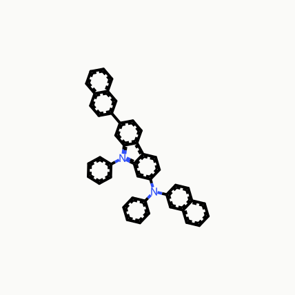 c1ccc(N(c2ccc3ccccc3c2)c2ccc3c4ccc(-c5ccc6ccccc6c5)cc4n(-c4ccccc4)c3c2)cc1